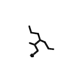 CCCC(CCC)C(C)C[O]